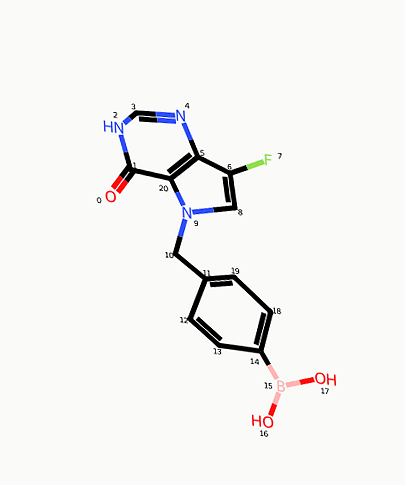 O=c1[nH]cnc2c(F)cn(Cc3ccc(B(O)O)cc3)c12